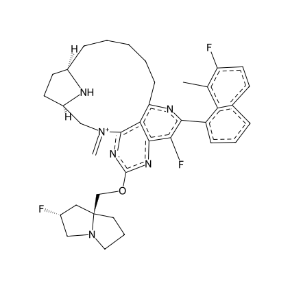 C=[N+]1C[C@H]2CC[C@@H](CCCCCc3nc(-c4cccc5ccc(F)c(C)c45)c(F)c4nc(OC[C@@]56CCCN5C[C@H](F)C6)nc1c34)N2